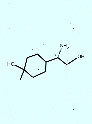 CC1(O)CCC([C@H](N)CO)CC1